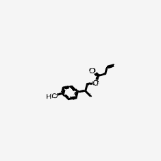 C=CCC(=O)OCC(C)c1ccc(O)cc1